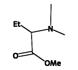 CCC(C(=O)OC)N(C)C